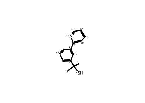 CC(C)(S)c1cncc(-c2ccccn2)c1